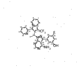 CC(c1c(C(F)(F)F)c2ccccn2c1-c1ccccn1)n1nc(-c2cc(O)cc(F)c2)c2c(N)ncnc21